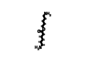 NCCCCCOC(=O)CCCCCN